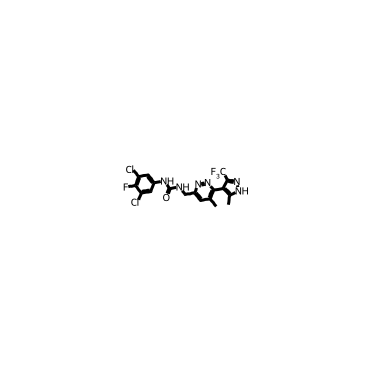 Cc1cc(CNC(=O)Nc2cc(Cl)c(F)c(Cl)c2)nnc1-c1c(C(F)(F)F)n[nH]c1C